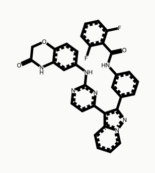 O=C1COc2ccc(Nc3nccc(-c4c(-c5cccc(NC(=O)c6c(F)cccc6F)c5)nn5ccccc45)n3)cc2N1